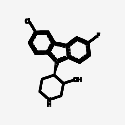 OC1CNCC[C@H]1n1c2ccc(F)cc2c2cc(Cl)ccc21